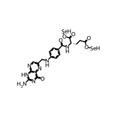 Nc1nc(=O)c2nc(CNc3ccc(C(=O)N[C@@H](CCC(=O)O[SeH])C(=O)O[SeH])cc3)cnc2[nH]1